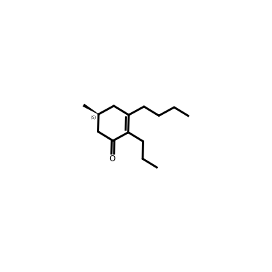 CCCCC1=C(CCC)C(=O)C[C@@H](C)C1